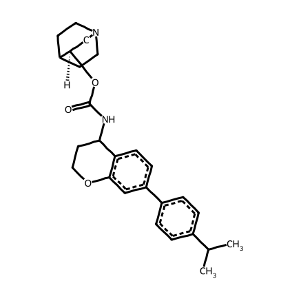 CC(C)c1ccc(-c2ccc3c(c2)OCCC3NC(=O)O[C@@H]2CN3CCC2CC3)cc1